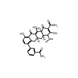 CN(C)C1C(O)=C(C(N)=O)C(=O)[C@@]2(O)C(O)=C3C(=O)c4c(O)ccc(-c5cccc(C(N)=O)c5)c4C[C@H]3C[C@@H]12